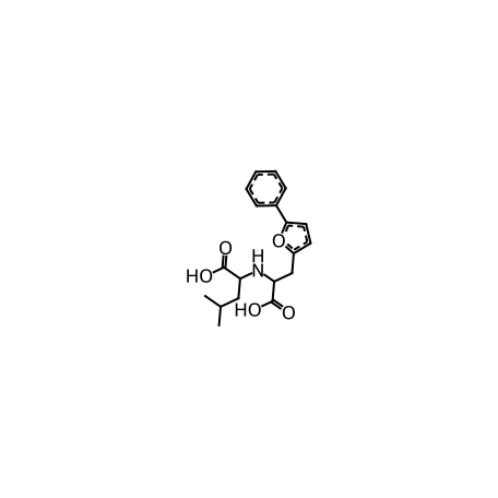 CC(C)CC(NC(Cc1ccc(-c2ccccc2)o1)C(=O)O)C(=O)O